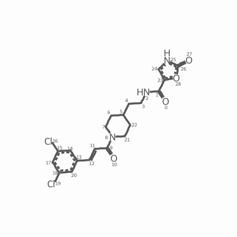 O=C(NCCC1CCN(C(=O)C=Cc2cc(Cl)cc(Cl)c2)CC1)c1c[nH]c(=O)o1